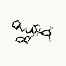 CC(C)c1nc(COCc2ccccc2)n(Cc2cnc3ccccc3c2)c1S(=O)(=O)c1cc(Cl)cc(Cl)c1